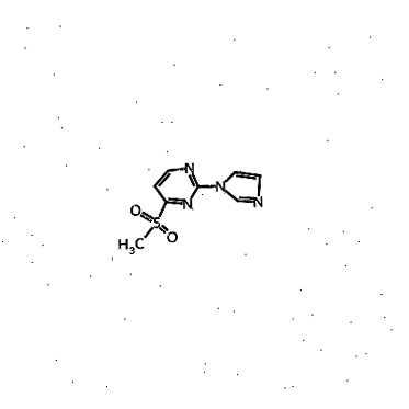 CS(=O)(=O)c1ccnc(-n2ccnc2)n1